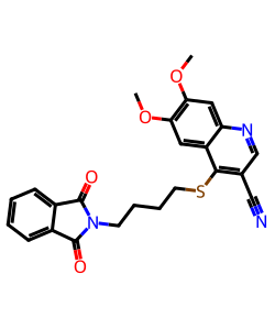 COc1cc2ncc(C#N)c(SCCCCN3C(=O)c4ccccc4C3=O)c2cc1OC